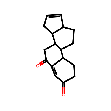 O=C1C=C2C(=O)CC3C4CC=CC4CCC3C2CC1